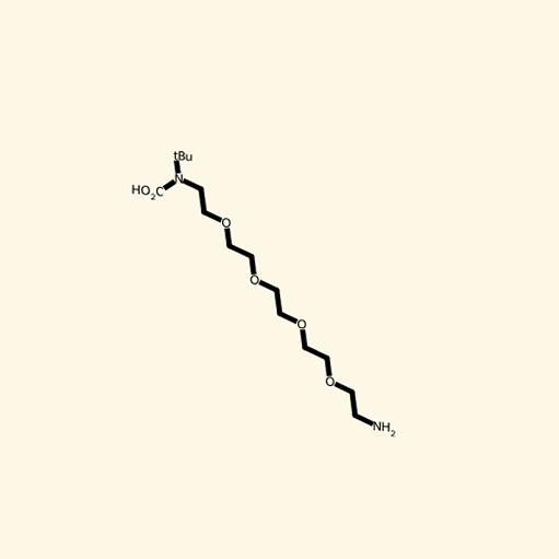 CC(C)(C)N(CCOCCOCCOCCOCCN)C(=O)O